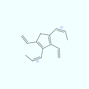 C=CC1=C(/C=C\C)C(C=C)=C(/C=C\C)C1